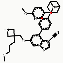 COCCCC1(COc2cc(-c3ccc(N4CC5CC(C4)N5Cc4ccc(OC)nc4)nc3)c3c(C#N)cnn3c2)CNC1